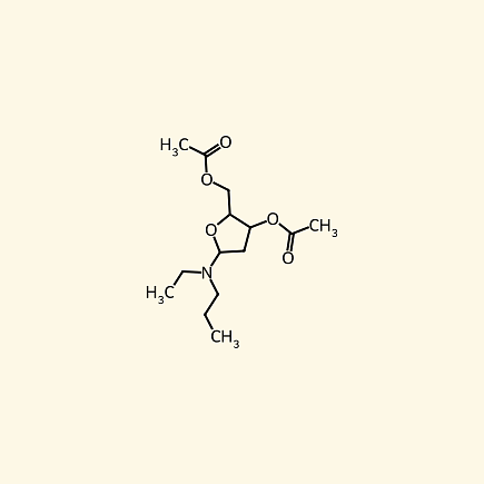 CCCN(CC)C1CC(OC(C)=O)C(COC(C)=O)O1